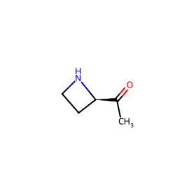 CC(=O)[C@H]1CCN1